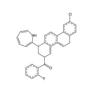 O=C(c1ccccc1F)C1C=c2c(ccc3c2=CCc2ccc(Cl)cc2-3)C(C2=CC=CC=CN2)C1